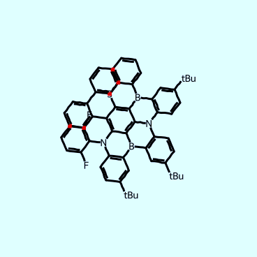 CC(C)(C)c1ccc2c(c1)B1c3ccccc3Sc3c1c1c4c(c3-c3ccccc3-c3ccccc3)N(c3c(F)cccc3F)c3ccc(C(C)(C)C)cc3B4c3cc(C(C)(C)C)ccc3N21